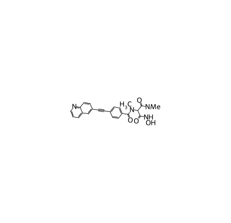 CNC(=O)C(C(=O)NO)N(C)C(=O)c1ccc(C#Cc2ccc3ncccc3c2)cc1